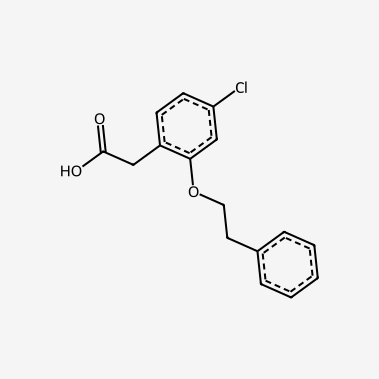 O=C(O)Cc1ccc(Cl)cc1OCCc1ccccc1